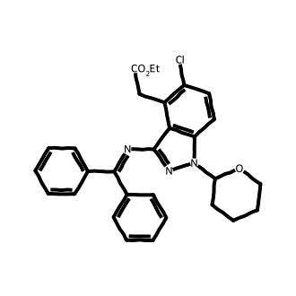 CCOC(=O)Cc1c(Cl)ccc2c1c(N=C(c1ccccc1)c1ccccc1)nn2C1CCCCO1